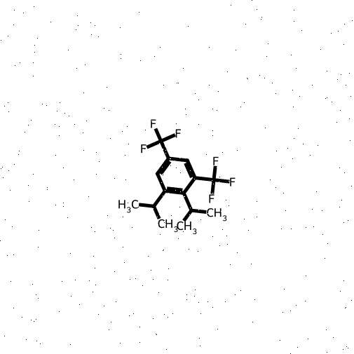 CC(C)c1cc(C(F)(F)F)cc(C(F)(F)F)c1C(C)C